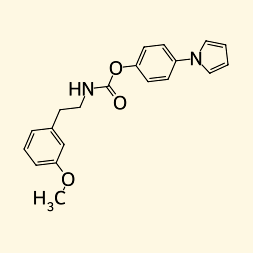 COc1cccc(CCNC(=O)Oc2ccc(-n3cccc3)cc2)c1